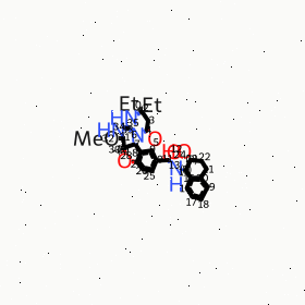 CCC1(CC)CC(=O)N(C2c3cc(C(=O)N[C@@H]4c5ccccc5CC[C@H]4O)ccc3O[C@@]2(C)COC)C(=N)N1